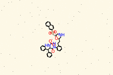 COC(=O)NC(C(=O)Nc1ccccc1CCC1CNC[C@@H](CS(=O)(=O)c2ccc3ccccc3c2)O1)C(c1ccccc1)c1ccccc1